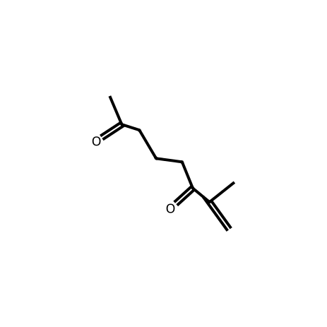 C=C(C)C(=O)CCCC(C)=O